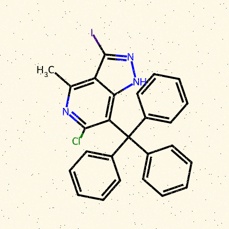 Cc1nc(Cl)c(C(c2ccccc2)(c2ccccc2)c2ccccc2)c2[nH]nc(I)c12